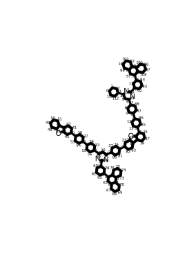 c1ccc(-c2cc(-c3ccc(-c4ccc(-c5cccc6c5oc5cc(-c7ccc(-c8cc(-c9ccc(-c%10ccc(-c%11ccc%12c(c%11)oc%11ccccc%11%12)cc%10)cc9)nc(-c9cccc(-c%10cc%11ccccc%11c%11ccccc%10%11)c9)n8)cc7)ccc56)cc4)cc3)nc(-c3cccc(-c4cc5ccccc5c5ccccc45)c3)n2)cc1